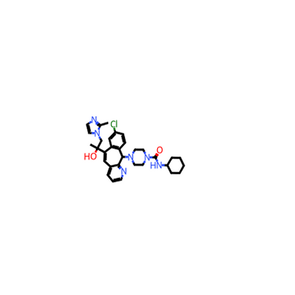 Cc1nccn1CC(C)(O)C1=Cc2cccnc2C(N2CCN(C(=O)NC3CCCCC3)CC2)c2ccc(Cl)cc21